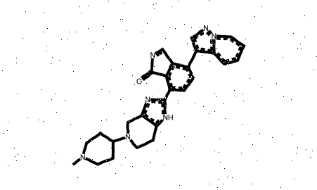 CN1CCC(N2CCc3[nH]c(-c4ccc(-c5cnn6ccccc56)c5c4C(=O)N=C5)nc3C2)CC1